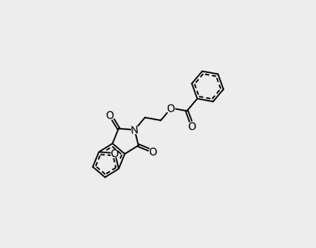 O=C(OCCN1C(=O)c2c(c3ccc2o3)C1=O)c1ccccc1